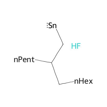 CCCCCCCC([CH2][Sn])CCCCC.F